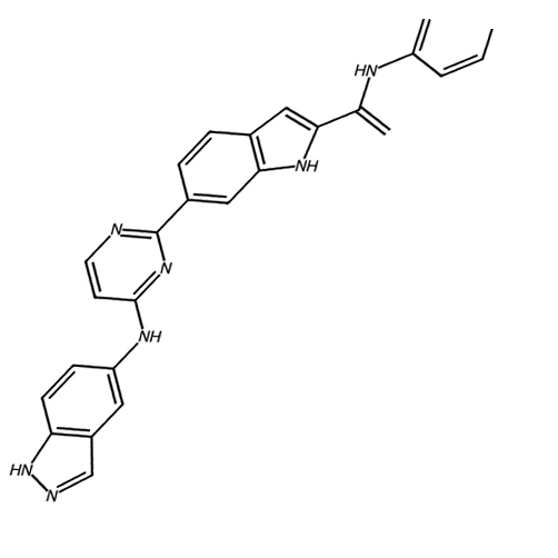 C=C(Nc1ccncc1Cl)c1cc2ccc(-c3nccc(Nc4ccc5[nH]ncc5c4)n3)cc2[nH]1